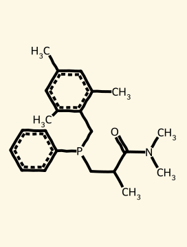 Cc1cc(C)c(CP(CC(C)C(=O)N(C)C)c2ccccc2)c(C)c1